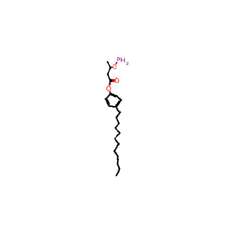 CCCCCCCCCCCCc1ccc(OC(=O)CC(C)OP)cc1